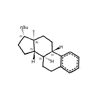 CCCC[C@H]1CC[C@H]2[C@@H]3CCc4c[c]ccc4[C@H]3CC[C@]12C